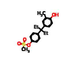 CCC(CC)(c1ccc(OS(C)(=O)=O)cc1)c1ccc(O)c(C)c1